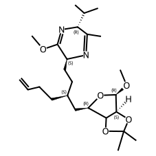 C=CCC[C@@H](CC[C@@H]1N=C(C)[C@@H](C(C)C)N=C1OC)C[C@H]1O[C@@H](OC)[C@H]2OC(C)(C)OC12